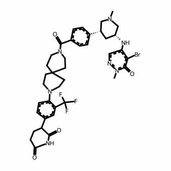 CN1C[C@H](Nc2cnn(C)c(=O)c2Br)C[C@H](c2ccc(C(=O)N3CCC4(CC3)CCN(c3ccc(C5CCC(=O)NC5=O)cc3C(F)(F)F)CC4)cc2)C1